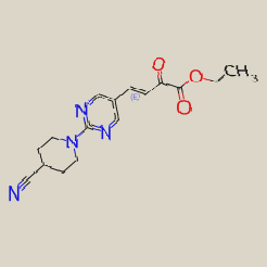 CCOC(=O)C(=O)/C=C/c1cnc(N2CCC(C#N)CC2)nc1